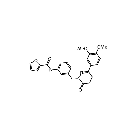 COc1ccc(C2=NN(Cc3cccc(NC(=O)c4ccco4)c3)C(=O)CC2)cc1OC